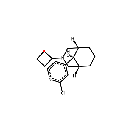 O[C@]1(c2ccnc(Cl)c2)[C@@H]2CCC[C@H]1CN(C13CC(C1)C3)C2